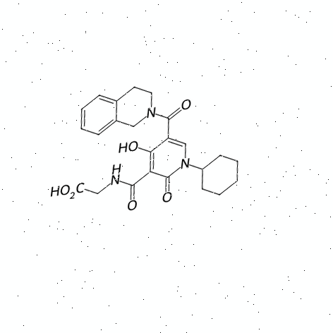 O=C(O)CNC(=O)c1c(O)c(C(=O)N2CCc3ccccc3C2)cn(C2CCCCC2)c1=O